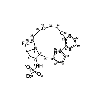 CCS(=O)(=O)NC1CCN2C1Cc1cccc(n1)-c1ccccc1CCCOCCC2C(F)(F)F